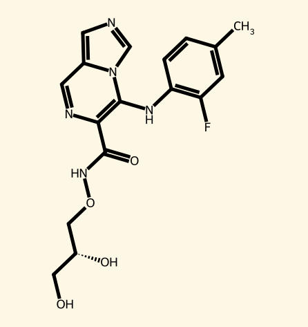 Cc1ccc(Nc2c(C(=O)NOC[C@H](O)CO)ncc3cncn23)c(F)c1